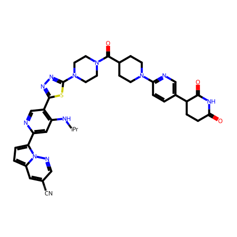 CC(C)Nc1cc(-c2ccc3cc(C#N)cnn23)ncc1-c1nnc(N2CCN(C(=O)C3CCN(c4ccc(C5CCC(=O)NC5=O)cn4)CC3)CC2)s1